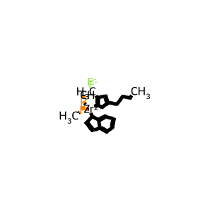 CCCCC1=CC(C)=[C]([Zr+2]2([CH]3C=Cc4ccccc43)[P](C)[P]2C)C1.[F-].[F-]